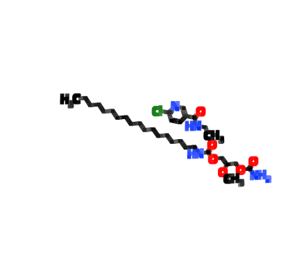 CCCCCCCCCCCCCCCCCCNC(=O)OCC(COC(N)=O)OC.CCNC(=O)c1ccc(Cl)nc1